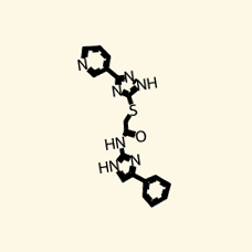 O=C(CSc1nc(-c2cccnc2)n[nH]1)Nc1nc(-c2ccccc2)c[nH]1